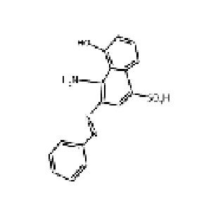 Nc1c(N=Nc2ccccc2)cc(S(=O)(=O)O)c2cccc(O)c12